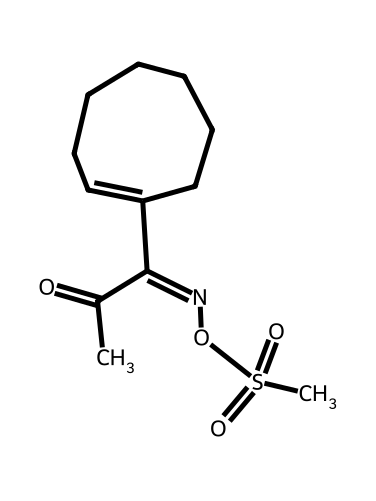 CC(=O)C(=NOS(C)(=O)=O)C1=CCCCCCC1